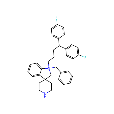 Fc1ccc(C(CCC[N+]2(Cc3ccccc3)CC3(CCNCC3)c3ccccc32)c2ccc(F)cc2)cc1